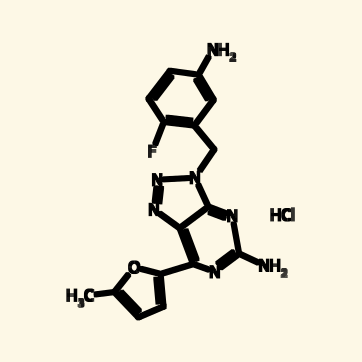 Cc1ccc(-c2nc(N)nc3c2nnn3Cc2cc(N)ccc2F)o1.Cl